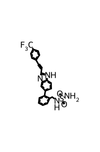 NS(=O)(=O)NCc1ccccc1-c1ccc2[nH]c(C#Cc3ccc(C(F)(F)F)cc3)nc2c1